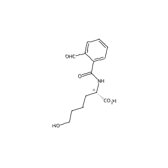 O=Cc1ccccc1C(=O)N[C@@H](CCCCO)C(=O)O